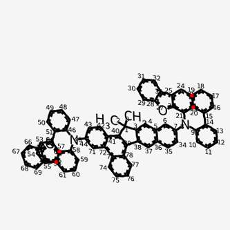 CC1(C)c2cc3cc(N(c4ccccc4-c4ccccc4)c4cccc5c4oc4ccccc45)ccc3cc2-c2c1c1ccc(N(c3ccccc3-c3ccccc3)c3cccc4c3oc3ccccc34)cc1c1ccccc21